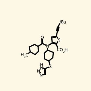 CC1CCC(C(=O)N(c2cc(C#CC(C)(C)C)sc2C(=O)O)C2CCC(Sc3cnn[nH]3)CC2)CC1